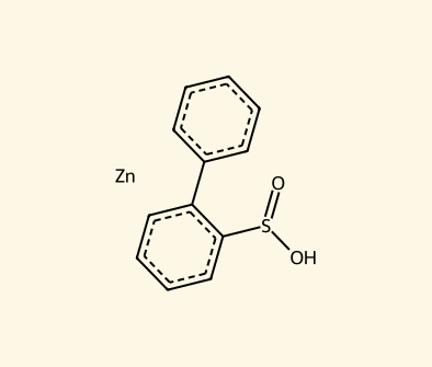 O=S(O)c1ccccc1-c1ccccc1.[Zn]